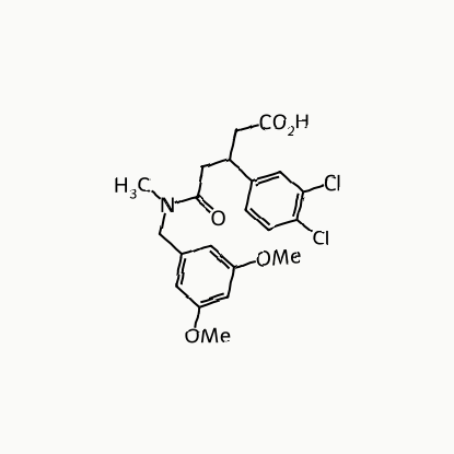 COc1cc(CN(C)C(=O)CC(CC(=O)O)c2ccc(Cl)c(Cl)c2)cc(OC)c1